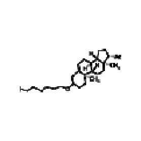 CC(=O)[C@H]1CC[C@H]2[C@@H]3CC=C4CC(OCCCCCCI)CC[C@]4(C)[C@H]3CC[C@]12C